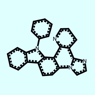 c1ccc(-n2c3ccccc3c3ccc4c(c5ncccc5c5nccn45)c32)cc1